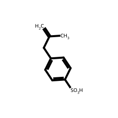 C=C(C)Cc1ccc(S(=O)(=O)O)cc1